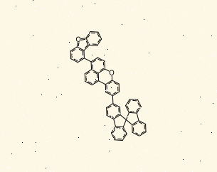 c1ccc2c(c1)-c1ccccc1C21c2ccccc2-c2ccc(-c3ccc4c(c3)-c3cccc5c(-c6cccc7oc8ccccc8c67)ccc(c35)O4)cc21